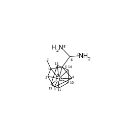 C[C]12[CH]3[CH]4[CH]5[C]1(C(N)N)[Fe]43521678[CH]2[CH]1[CH]6[CH]7[CH]28